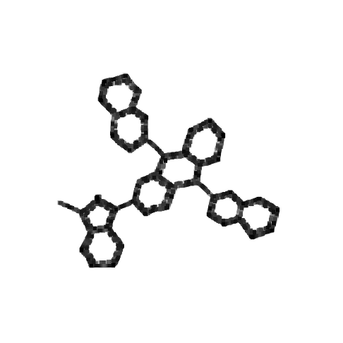 Cc1sc(-c2ccc3c(-c4ccc5ccccc5c4)c4ccccc4c(-c4ccc5ccccc5c4)c3c2)c2ccccc12